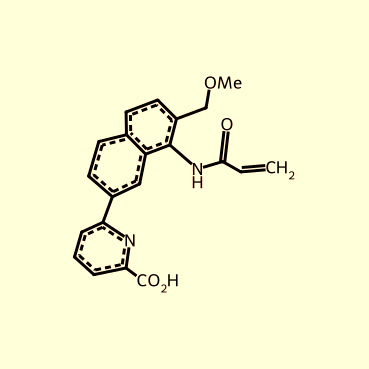 C=CC(=O)Nc1c(COC)ccc2ccc(-c3cccc(C(=O)O)n3)cc12